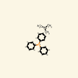 [CH3][Au]([CH3])[CH3].c1ccc(P(c2ccccc2)c2ccccc2)cc1